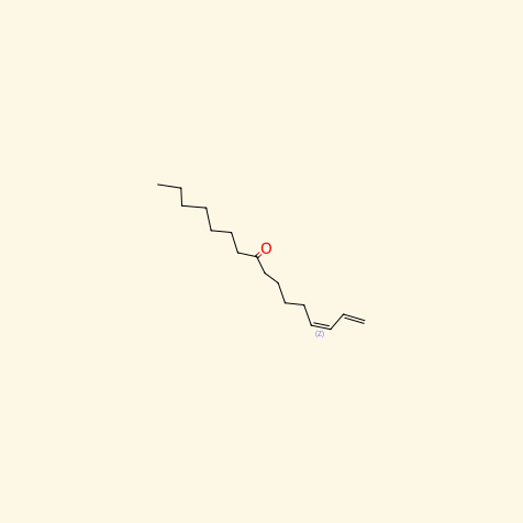 C=C/C=C\CCCCC(=O)CCCCCCC